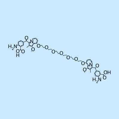 COc1c(C)c(C(=O)c2ccc(N)c(C(=O)O)c2)n2cccc(OCCOCCOCCOCCOCCOCCOc3cccn4c(C(=O)c5ccc(N)c(C(=O)O)c5)c(C)c(OC)c34)c12